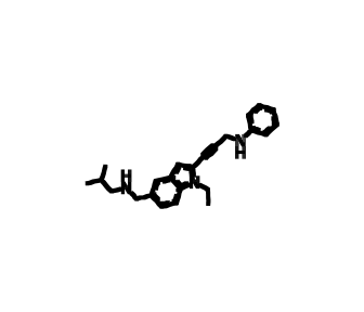 CCn1c(C#CCNc2ccccc2)cc2cc(CNCC(C)C)ccc21